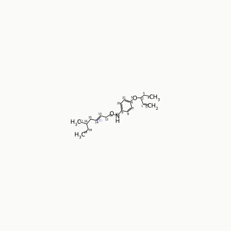 C=CC(CC)Oc1ccc(NOC/C=C/CC(C)CC)cc1